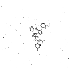 COc1cccc(-c2nnc(NS(=O)(=O)[C@@H](C)[C@@H](OC(C)C)c3ncc(C)cn3)n2[C@H](C)c2ccno2)n1